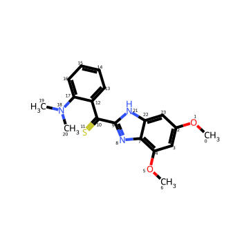 COc1cc(OC)c2nc(C(=S)c3ccccc3N(C)C)[nH]c2c1